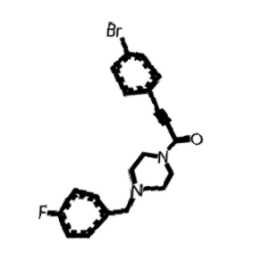 O=C(C#Cc1ccc(Br)cc1)N1CCN(Cc2ccc(F)cc2)CC1